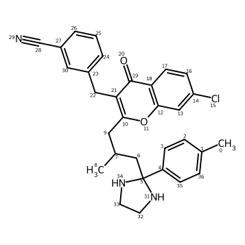 Cc1ccc(C2(CC(C)Cc3oc4cc(Cl)ccc4c(=O)c3Cc3cccc(C#N)c3)NCCN2)cc1